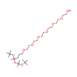 C[Si](C)(C)O[Si](C)(C)O[Si](C)(CCCOCCOCCOCCOCCOCCOCCO)O[Si](C)(C)C